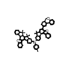 Cc1ccc(N(c2ccc3c(c2)C(C)(C)c2cc(-c4ccc5c(c4)-c4ccccc4OC5)c4oc5ccccc5c4c2-3)c2ccc3c(c2)C(C)(C)c2c4c(c5oc6ccccc6c5c2-3)-c2ccccc2C4(C)C)cc1